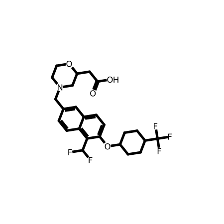 O=C(O)CC1CN(Cc2ccc3c(C(F)F)c(OC4CCC(C(F)(F)F)CC4)ccc3c2)CCO1